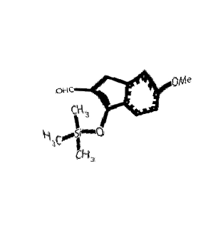 COc1ccc2c(c1)CC(C=O)=C2O[Si](C)(C)C